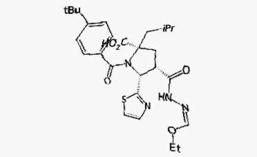 CCO/C=N\NC(=O)[C@H]1C[C@@](CC(C)C)(C(=O)O)N(C(=O)c2ccc(C(C)(C)C)cc2)[C@H]1c1nccs1